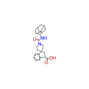 O=C(O)[C@@H]1CC2(CCN(C(=O)NC3C4CC5CC(C4)CC3C5)CC2)c2ccccc21